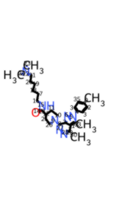 Cc1ccc(-n2nc3c(N4CCC(C(=O)NCCCCCCN(C)C)CC4)nnc(C)c3c2C)cc1